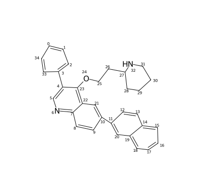 c1ccc(-c2cnc3ccc(-c4ccc5ccccc5c4)cc3c2OCCC2CCCCN2)cc1